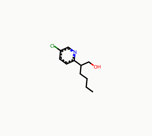 CCCCC(CO)c1ccc(Cl)cn1